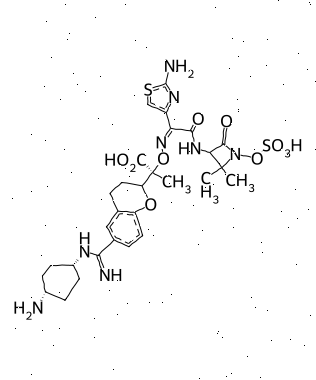 CC1(C)C(NC(=O)/C(=N\O[C@](C)(C(=O)O)C2CCc3cc(C(=N)N[C@H]4CC[C@@H](N)CC4)ccc3O2)c2csc(N)n2)C(=O)N1OS(=O)(=O)O